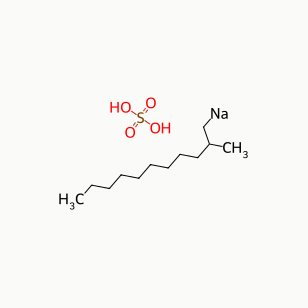 CCCCCCCCCC(C)[CH2][Na].O=S(=O)(O)O